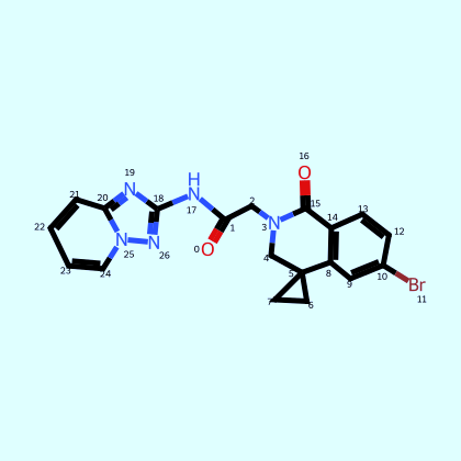 O=C(CN1CC2(CC2)c2cc(Br)ccc2C1=O)Nc1nc2ccccn2n1